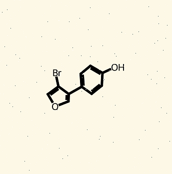 Oc1ccc(-c2cocc2Br)cc1